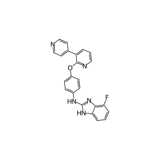 Fc1cccc2[nH]c(Nc3ccc(Oc4ncccc4-c4ccncc4)cc3)nc12